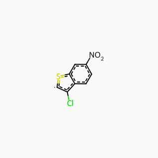 O=[N+]([O-])c1ccc2c(Cl)[c]sc2c1